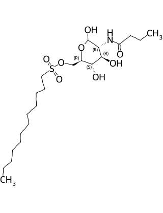 CCCCCCCCCCCCS(=O)(=O)OC[C@H]1OC(O)[C@H](NC(=O)CCC)[C@@H](O)[C@@H]1O